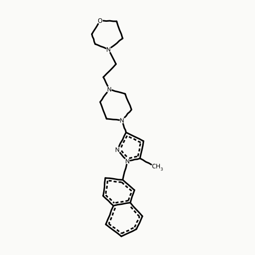 Cc1cc(N2CCN(CCN3CCOCC3)CC2)nn1-c1ccc2ccccc2c1